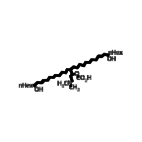 CCCCCCC(O)CC=CCCCCCCCCC(CCCCCCCCC=CCC(O)CCCCCC)C(CCN(C)C)OC(=O)O